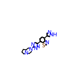 c1nc2c(-c3cn[nH]c3)ccc(-c3cnc(N4CCN5CCCC5C4)nn3)c2s1